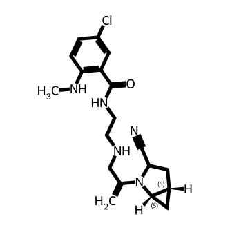 C=C(CNCCNC(=O)c1cc(Cl)ccc1NC)N1C(C#N)C[C@@H]2C[C@@H]21